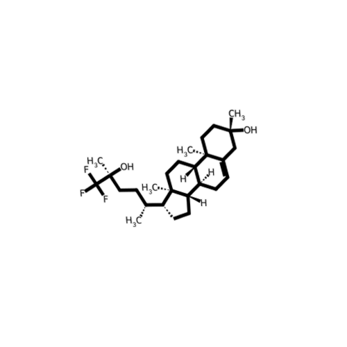 C[C@H](CC[C@](C)(O)C(F)(F)F)[C@H]1CC[C@H]2[C@@H]3CC=C4C[C@@](C)(O)CC[C@]4(C)[C@H]3CC[C@]12C